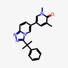 Cc1cc(-c2ccc3nnc(C(C)(C)c4ccccc4)n3c2)cn(C)c1=O